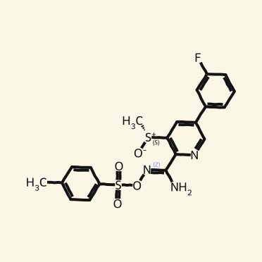 Cc1ccc(S(=O)(=O)O/N=C(\N)c2ncc(-c3cccc(F)c3)cc2[S@@+](C)[O-])cc1